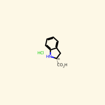 Cl.O=C(O)[C@H]1Cc2ccccc2N1